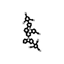 N#Cc1cc(C#N)c(-c2ccc3c(c2)c2ccccc2n3-c2ccnc(-c3cc(C#N)ccc3-n3c4ccccc4c4cc(-c5c(C#N)cc(C#N)cc5C#N)ccc43)c2)c(C#N)c1